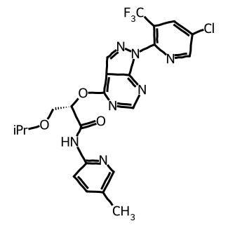 Cc1ccc(NC(=O)[C@H](COC(C)C)Oc2ncnc3c2cnn3-c2ncc(Cl)cc2C(F)(F)F)nc1